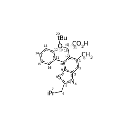 Cc1cc2nc(CC(C)C)sc2c(-c2ccccc2)c1[C@H](OC(C)(C)C)C(=O)O